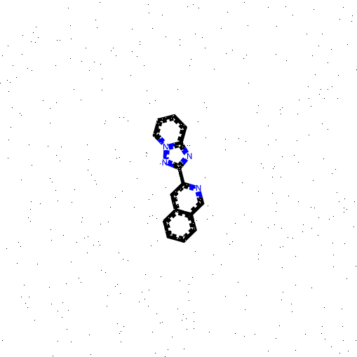 c1ccc2cc(-c3nc4ccccn4n3)ncc2c1